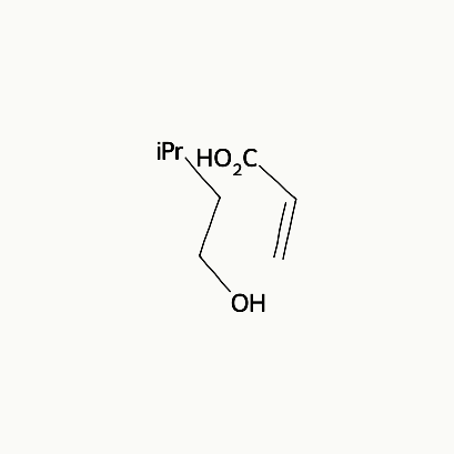 C=CC(=O)O.CC(C)CCO